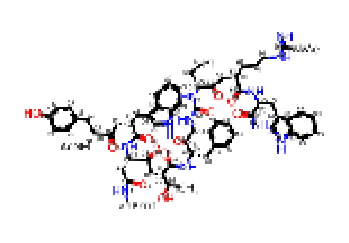 CCCCCNC(=O)C[C@H](NC(=O)[C@H](CC(=O)[C@@H](Cc1ccc(O)cc1)NC(C)=O)Cc1c[nH]c2ccccc12)C(=O)C[C@H](C(=O)N[C@@H](Cc1ccccc1)C(=O)CNC(=O)N[C@@H](CC(C)C)C(=O)C[C@@H](CCCNC(=N)NC)C(=O)N[C@@H](Cc1c[nH]c2ccccc12)C(N)=O)[C@@H](C)O